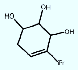 CC(C)C1=CCC(O)C(O)C1O